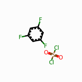 Fc1cc(F)cc(F)c1.O=S(=O)(Cl)Cl